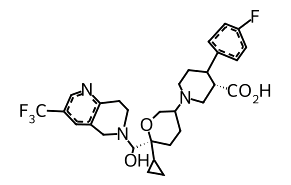 O=C(O)[C@@H]1CN(C2CC[C@](C3CC3)(C(O)N3CCc4ncc(C(F)(F)F)cc4C3)OC2)CCC1c1ccc(F)cc1